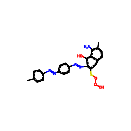 Cc1ccc(N=Nc2ccc(N=Nc3c(SOOO)cc4ccc(C)c(N)c4c3O)cc2)cc1